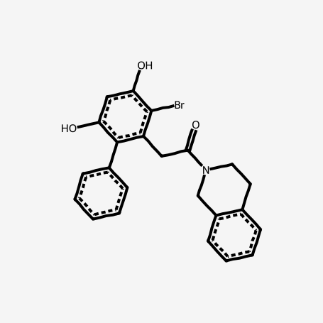 O=C(Cc1c(Br)c(O)cc(O)c1-c1ccccc1)N1CCc2ccccc2C1